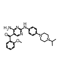 COc1ccccc1C(=O)c1cnc(Nc2ccc(N3CCN(C(C)C)CC3)cc2)nc1N